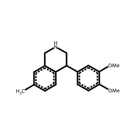 COc1ccc(C2CNCc3cc(C)ccc32)cc1OC